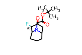 CC(C)(C)OC(=O)CN1C2CCCC1[C@@H](F)C(=O)C2